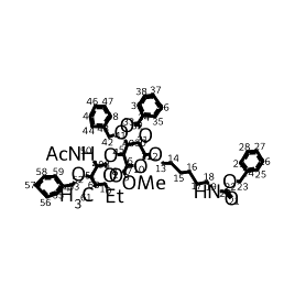 CCC1OC(OC2C(C(=O)OC)OC(OCCCCCCNC(=O)OCc3ccccc3)C(OC(=O)c3ccccc3)C2OCc2ccccc2)C(NC(C)=O)C(OCc2ccccc2)C1C